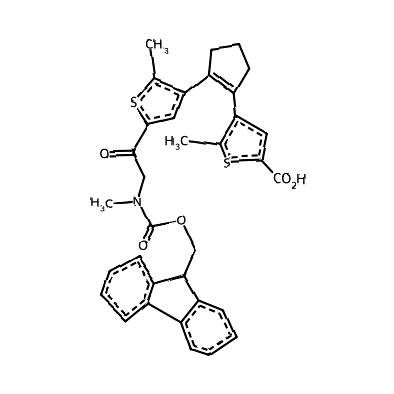 Cc1sc(C(=O)O)cc1C1=C(c2cc(C(=O)CN(C)C(=O)OCC3c4ccccc4-c4ccccc43)sc2C)CCC1